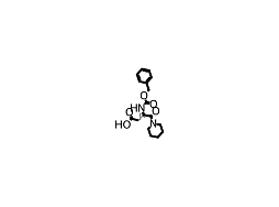 O=C(O)C[C@H](NC(=O)OCc1ccccc1)C(=O)N1CCCCC1